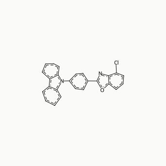 Clc1cccc2oc(-c3ccc(-n4c5ccccc5c5ccccc54)cc3)nc12